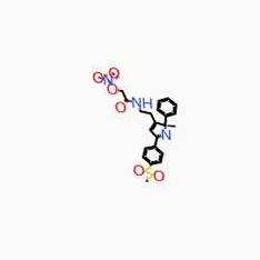 C[C@@]1(c2ccccc2)N=C(c2ccc(S(C)(=O)=O)cc2)C=C1CCNC(=O)CO[N+](=O)[O-]